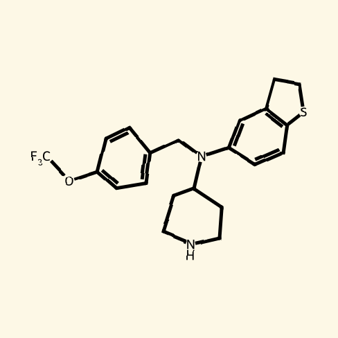 FC(F)(F)Oc1ccc(CN(c2ccc3c(c2)CCS3)C2CCNCC2)cc1